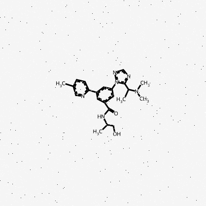 Cc1ccc(-c2cc(C(=O)NC(C)CO)cc(-n3ncnc3C(C)N(C)C)c2)nc1